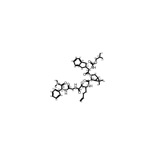 C=CCCC(NC(=O)[C@@H]1C2C(CN1C(=O)[C@@H](NC(=O)OCC(C)C)C1Cc3ccccc3C1)C2(C)C)C(=O)C(=O)NCC(=O)N[C@H](C(=O)N(C)C)c1ccccc1